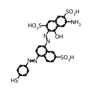 Nc1cc2c(O)c(N=Nc3ccc(/N=N/c4ccc(S)cc4)c4ccc(S(=O)(=O)O)cc34)c(S(=O)(=O)O)cc2cc1S(=O)(=O)O